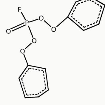 O=P(F)(OOc1ccccc1)OOc1ccccc1